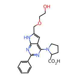 O=C(O)C1CCCN1c1nc(-c2ccccc2)nc2[nH]c(COCCO)cc12